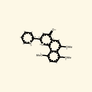 COc1ccc(OC)c2c1c(OC)cc1c(=O)cc(-c3ccccn3)oc12